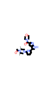 CC(=O)N1[C@H](C)CN(c2cccc(-c3c[nH]c4ncc(C(=O)N5CCOCC5)cc34)n2)C[C@@H]1C